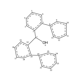 O[C](c1ccccc1-c1ccccc1)c1ccccc1-c1ccccc1